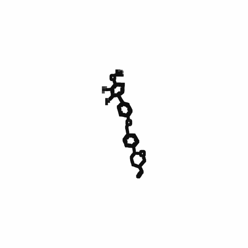 C=CC1CCC(c2ccc(COc3ccc(-c4ccc(OCC)c(F)c4F)cc3)cc2)OC1